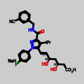 CC(C)c1c(C(=O)NCc2cccc(C#N)c2)nn(-c2ccc(F)cc2)c1/C=C/[C@H](O)C[C@@H](O)CC(=O)O.[NaH]